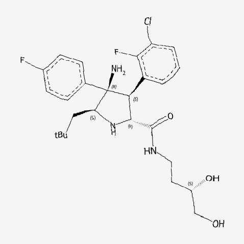 CC(C)(C)C[C@@H]1N[C@@H](C(=O)NCC[C@H](O)CO)[C@H](c2cccc(Cl)c2F)[C@@]1(N)c1ccc(F)cc1